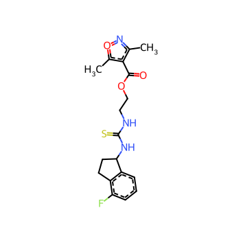 Cc1noc(C)c1C(=O)OCCNC(=S)NC1CCc2c(F)cccc21